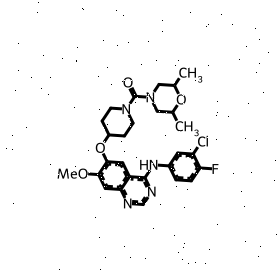 COc1cc2ncnc(Nc3ccc(F)c(Cl)c3)c2cc1OC1CCN(C(=O)N2CC(C)OC(C)C2)CC1